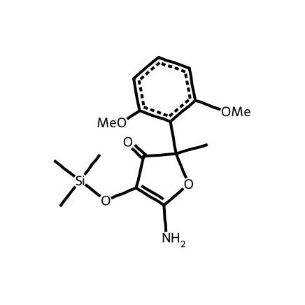 COc1cccc(OC)c1C1(C)OC(N)=C(O[Si](C)(C)C)C1=O